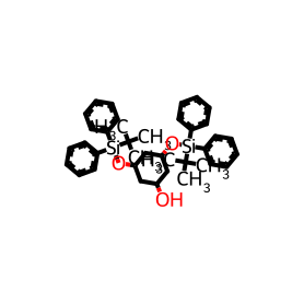 CC(C)(C)[Si](OC1CC(O)CC(O[Si](c2ccccc2)(c2ccccc2)C(C)(C)C)C1)(c1ccccc1)c1ccccc1